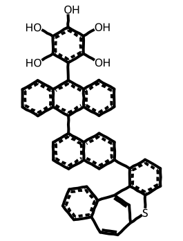 Oc1c(O)c(O)c(-c2c3ccccc3c(-c3cccc4cc(-c5cccc6c5C5=CC(C=Cc7ccccc75)S6)ccc34)c3ccccc23)c(O)c1O